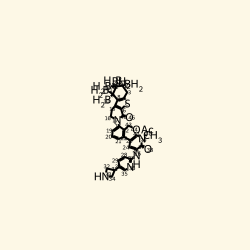 BC1(B)Cc2sc3c(c2C(B)(B)C1(B)B)CCN(c1cccc(-c2cc(Nc4ccc(C5CNC5)cn4)c(=O)n(C)c2)c1COC(C)=O)C3=O